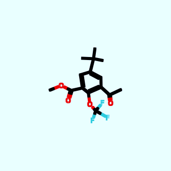 COC(=O)c1cc(C(C)(C)C)cc(C(C)=O)c1OC(F)(F)F